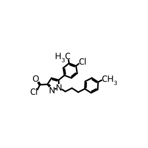 Cc1ccc(CCCn2nc(C(=O)Cl)cc2-c2ccc(Cl)c(C)c2)cc1